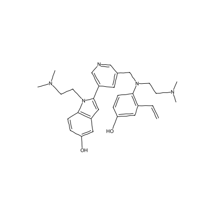 C=Cc1cc(O)ccc1N(CCN(C)C)Cc1cncc(-c2cc3cc(O)ccc3n2CCN(C)C)c1